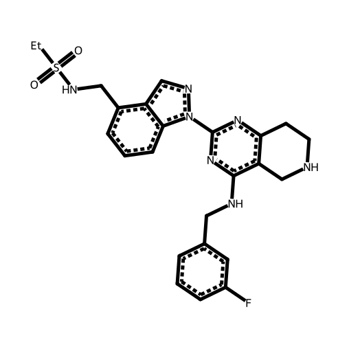 CCS(=O)(=O)NCc1cccc2c1cnn2-c1nc2c(c(NCc3cccc(F)c3)n1)CNCC2